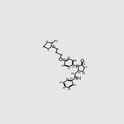 CC1CCCN1CCCOc1ccc(N2C(=O)CCC2CNc2ccccc2)cc1